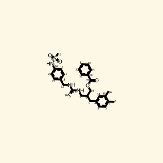 Cc1ccc(CC(CNC(=S)NCc2ccc(NS(C)(=O)=O)cc2)COC(=O)c2ccccc2)cc1C